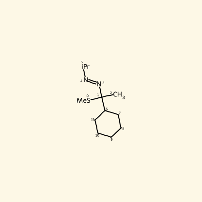 CSC(C)(N=NC(C)C)C1CCCCC1